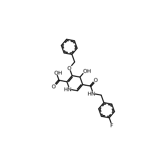 O=C(O)C1=C(OCc2ccccc2)C(O)C(C(=O)NCc2ccc(F)cc2)=CN1